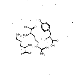 N=C(N)NCCCC(N)C(=O)O.NC(Cc1ccc(O)cc1)C(=O)O.NCCCC(N)C(=O)O